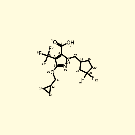 O=C(O)c1c(C(F)(F)F)c(OCC2CC2)nn1CC1CCC(F)(F)C1